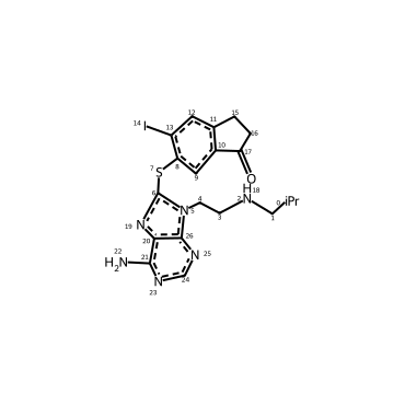 CC(C)CNCCn1c(Sc2cc3c(cc2I)CCC3=O)nc2c(N)ncnc21